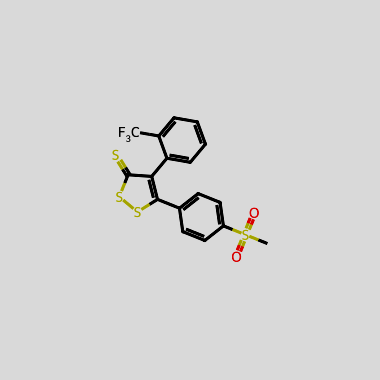 CS(=O)(=O)c1ccc(-c2ssc(=S)c2-c2ccccc2C(F)(F)F)cc1